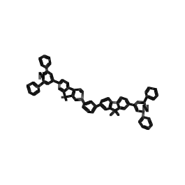 CC1(C)c2cc(-c3cccc(-c4ccc5c(c4)C(C)(C)c4cc(-c6cc(-c7ccccc7)nc(-c7ccccc7)c6)ccc4-5)c3)ccc2-c2ccc(-c3cc(-c4ccccc4)nc(-c4ccccc4)c3)cc21